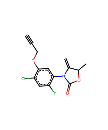 C#CCOc1cc(N2C(=C)C(C)OC2=O)c(F)cc1Cl